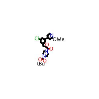 COc1cc(-c2cc(Cl)cc3c2OC(C(=O)N2CCN(C(=O)OC(C)(C)C)CC2)C3)ccn1